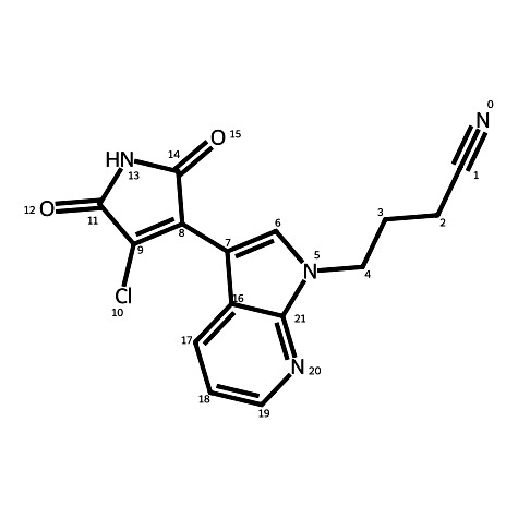 N#CCCCn1cc(C2=C(Cl)C(=O)NC2=O)c2cccnc21